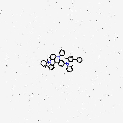 Cc1ccccc1N(c1ccc2c(c1)N(c1ccccc1)c1cccc3c1B2c1cccc2c1N3C1(C)CCCCC21C)c1cc(-c2ccccc2)ccc1C